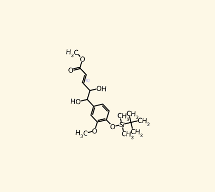 COC(=O)/C=C/C(O)C(O)c1ccc(O[Si](C)(C)C(C)(C)C)c(OC)c1